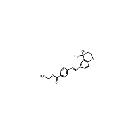 CCOC(=O)c1ccc(N=Cc2ccc3c(c2)C(C)(C)CCO3)cc1